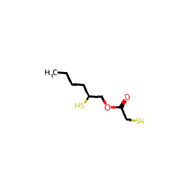 CCCCC(S)COC(=O)CS